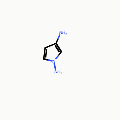 Nc1ccn(N)c1